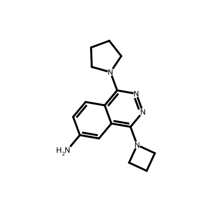 Nc1ccc2c(N3CCCC3)nnc(N3CCC3)c2c1